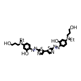 CCN(CCCO)c1ccc(/N=N/c2ncc(-c3cnc(/N=N/c4ccc(N(CC)CCCO)cc4O)s3)s2)c(O)c1